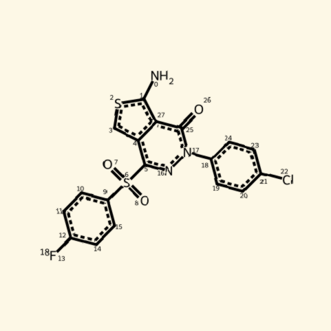 Nc1scc2c(S(=O)(=O)c3ccc([18F])cc3)nn(-c3ccc(Cl)cc3)c(=O)c12